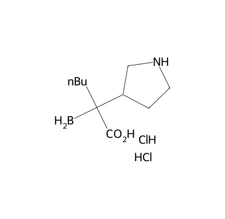 BC(CCCC)(C(=O)O)C1CCNC1.Cl.Cl